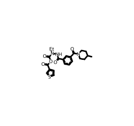 CCN(NC(=O)c1cccc(C(=O)N2CCC(C)CC2)c1)C(=O)OC(=O)c1ccsc1